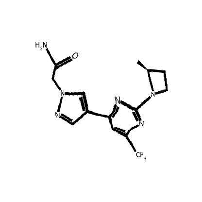 C[C@H]1CCN1c1nc(-c2cnn(CC(N)=O)c2)cc(C(F)(F)F)n1